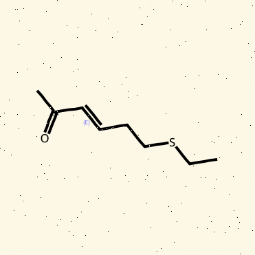 CCSCC/C=C/C(C)=O